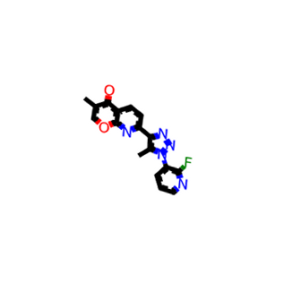 Cc1coc2nc(-c3nnn(-c4cccnc4F)c3C)ccc2c1=O